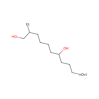 CCCCCCCCCCCC(O)CCCCC(CC)CO